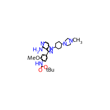 COc1cc(-c2nn(C3CCC(N4CCN(C)CC4)CC3)c3ccnc(N)c23)ccc1NC(=O)OC(C)(C)C